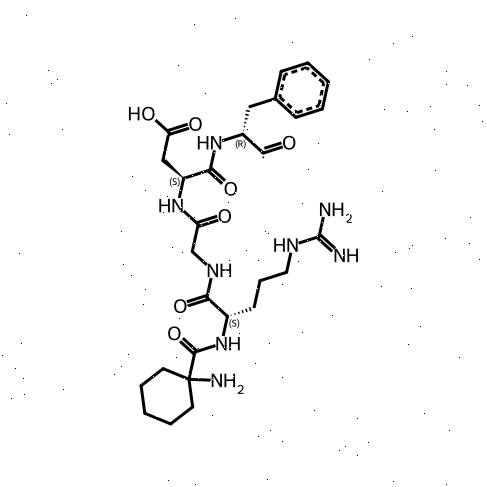 N=C(N)NCCC[C@H](NC(=O)C1(N)CCCCC1)C(=O)NCC(=O)N[C@@H](CC(=O)O)C(=O)N[C@@H]([C]=O)Cc1ccccc1